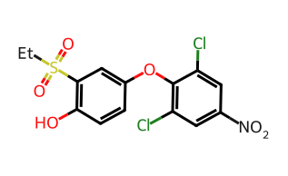 CCS(=O)(=O)c1cc(Oc2c(Cl)cc([N+](=O)[O-])cc2Cl)ccc1O